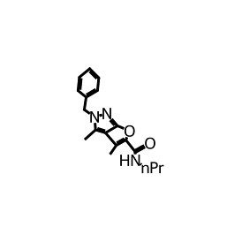 CCCNC(=O)c1oc2nn(Cc3ccccc3)c(C)c2c1C